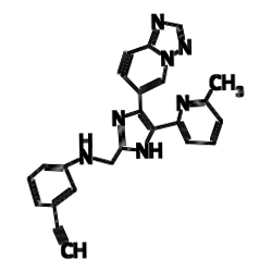 C#Cc1cccc(NCc2nc(-c3c#cc4ncnn4c3)c(-c3cccc(C)n3)[nH]2)c1